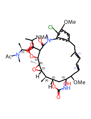 CNC(C)C(=O)C1C(=O)N(C)c2cc(cc(OC)c2Cl)C/C(C)=C/C=C/C(OC)[C@@]2(O)C[C@H](OC(=O)N2)[C@@H](C)[C@@H]2O[C@@]2(C)[C@H]1OC(=O)[C@H](C)N(C)C(C)=O